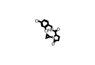 O=C(NCc1ccc(Cl)cc1Cl)C1CCC(=O)N1C1CC1